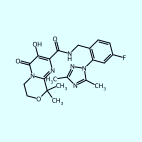 Cc1nc(C)n(-c2cc(F)ccc2CNC(=O)c2nc3n(c(=O)c2O)CCOC3(C)C)n1